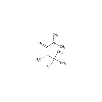 C[C@H](C(=O)N(C)C)C(C)(C)N